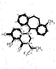 Cc1cccc2c1CCc1ccccc1C2N1CN([C@H](C)C(F)(F)F)C(=O)c2c(O)c(=O)ccn21